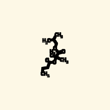 CCCC(=O)OC(C)(C)C(=O)OCC(C)C